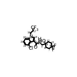 O=C(NCC1(O)CCC(F)(F)CC1)c1cn(CCC(F)(F)F)c2cccc(Cl)c12